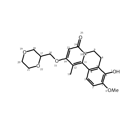 COc1ccc2c(c1O)CCn1c-2c(C)c(OCC2COCCO2)cc1=O